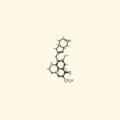 O=C(O)c1cn2c3c(c(CC4=CC5CNCCN5C4)c(F)cc3c1=O)OCC2